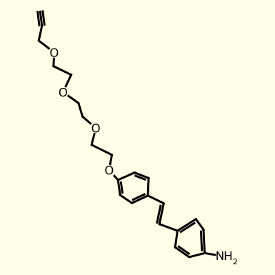 C#CCOCCOCCOCCOc1ccc(/C=C/c2ccc(N)cc2)cc1